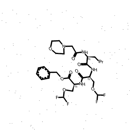 CC(C)C[C@H](NC(=O)CN1CCOCC1)C(=O)N[C@@H](COC(F)F)C(=O)N[C@@H](COC(F)F)C(=O)OCc1ccccc1